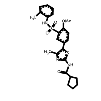 COc1ccc(-c2sc(NC(=O)C3CCCC3)nc2C)cc1S(=O)(=O)Nc1ccccc1C(F)(F)F